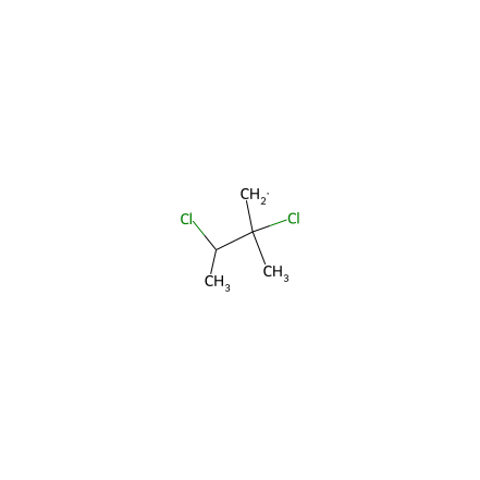 [CH2]C(C)(Cl)C(C)Cl